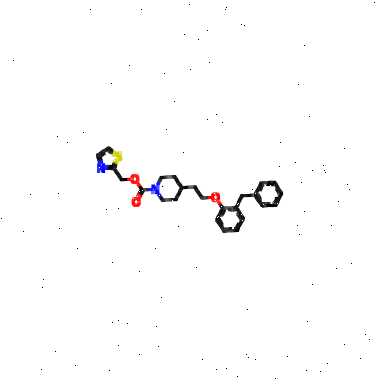 O=C(OCc1nccs1)N1CCC(CCOc2ccccc2Cc2ccccc2)CC1